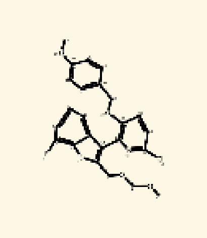 COCOCc1sc2c(F)cccc2c1-c1nc(Cl)ccc1OCc1ccc(OC)cc1